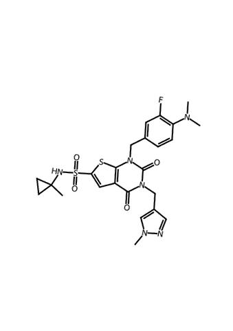 CN(C)c1ccc(Cn2c(=O)n(Cc3cnn(C)c3)c(=O)c3cc(S(=O)(=O)NC4(C)CC4)sc32)cc1F